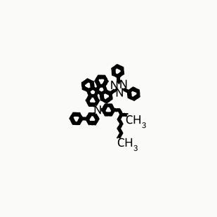 CCCCCCC(CC)Cc1ccc(N(c2cccc(-c3ccccc3)c2)c2ccc3c(c2)C2(c4ccccc4-3)c3ccccc3-c3c(-c4nc(-c5ccccc5)nc(-c5ccccc5)n4)cccc32)cc1